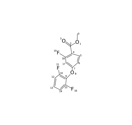 COC(=O)c1ccc(Oc2c(F)cccc2F)cc1F